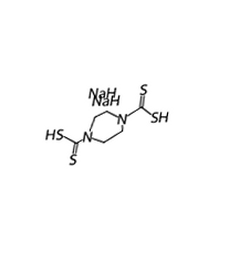 S=C(S)N1CCN(C(=S)S)CC1.[NaH].[NaH]